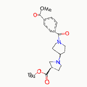 COC(=O)c1ccc(C(=O)N2CCC(N3CC[C@@H](C(=O)OC(C)(C)C)C3)CC2)cc1